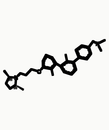 Cc1c(OCCCN2[C@H](C)CC[C@H]2C)cccc1-c1cccc(-c2ccc(CN(C)C)cc2)c1C